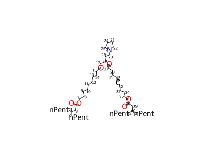 CCCCCC(CCCCC)CC(=O)OCCCCCCCCCOCC(CCN1CCCC1)OCCCCCCCCCOC(=O)CC(CCCCC)CCCCC